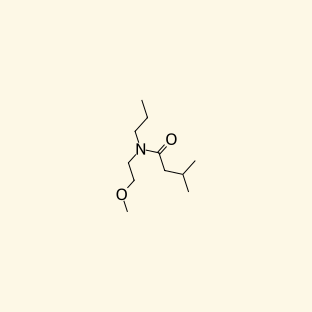 CCCN(CCOC)C(=O)CC(C)C